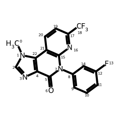 Cn1cnc2c(=O)n(-c3cccc(F)c3)c3nc(C(F)(F)F)ccc3c21